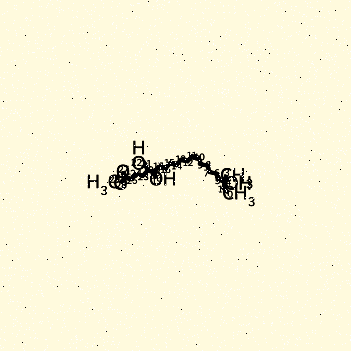 CCC(C)(O)/C=C/CCC\C=C/C=C/C=C/C=C/C(O)C(CO)CCCC(=O)OC